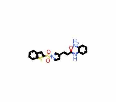 Nc1ccccc1NC(=O)/C=C/c1ccn(S(=O)(=O)c2cc3ccccc3s2)c1